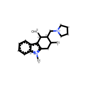 CCC1Cc2c(c3ccccc3n2CC)C(C=O)C1CN1CCCC1